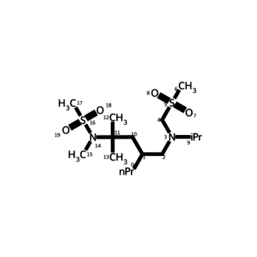 CCCC(CN(CS(C)(=O)=O)C(C)C)CC(C)(C)N(C)S(C)(=O)=O